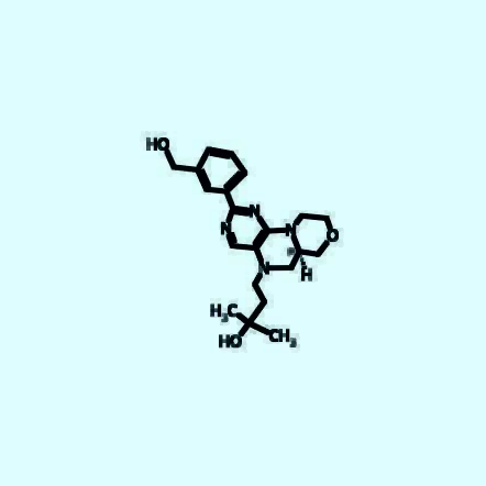 CC(C)(O)CCN1C[C@@H]2COCCN2c2nc(-c3cccc(CO)c3)ncc21